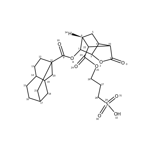 O=C1OC2C3C[C@@H](C2OC(=O)C24CCC5CCC(CC5C2)C4)C(C(=O)OCCCS(=O)(=O)O)C13